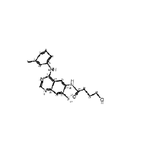 Cc1cccc(Nc2ncnc3cc(F)c(NC(=O)CCCCl)cc23)c1